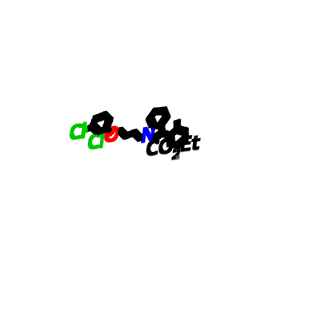 CCOC(=O)c1c(-c2ccccc2C)c2ccccc2n1CCCCOc1cccc(Cl)c1Cl